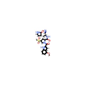 COc1cccc2[nH]c(C(=O)N3CC(S(C)(=O)=O)CC3C(=O)N[C@H](C#N)C[C@@H]3CCNC3=O)cc12